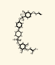 C=CCOc1ccc(C(F)(F)Oc2ccc(C3CCC(C(F)(F)Oc4cc(F)c(OC=C(F)F)c(F)c4)CC3)cc2)c(F)c1